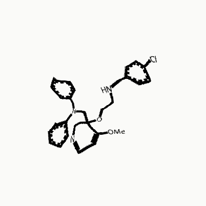 COC1=CC=NCC1(CN(c1ccccc1)c1ccccc1)OCCNc1ccc(Cl)cc1